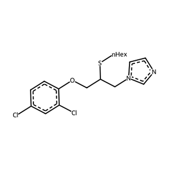 CCCCCCSC(COc1ccc(Cl)cc1Cl)Cn1ccnc1